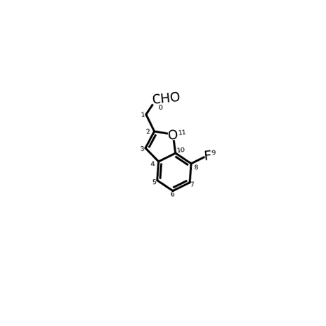 O=CCc1cc2cccc(F)c2o1